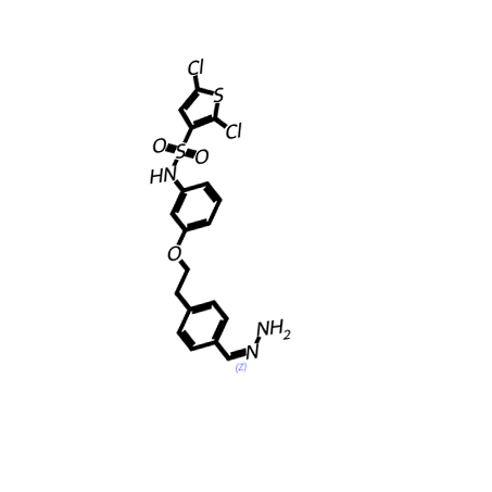 N/N=C\c1ccc(CCOc2cccc(NS(=O)(=O)c3cc(Cl)sc3Cl)c2)cc1